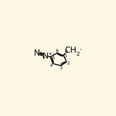 [CH2]c1cccc([N+]#N)c1